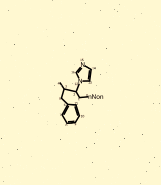 CCCCCCCCCCC(C(C)Cc1ccccc1)n1ccnc1